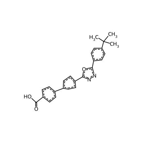 CC(C)(C)c1ccc(-c2nnc(-c3ccc(-c4ccc(C(=O)O)cc4)cc3)o2)cc1